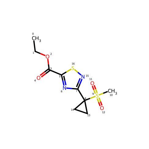 CCOC(=O)c1nc(C2(S(C)(=O)=O)CC2)ns1